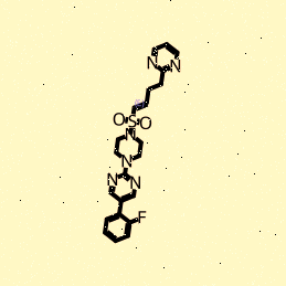 O=S(=O)(/C=C/CCc1ncccn1)N1CCN(c2ncc(-c3ccccc3F)cn2)CC1